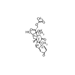 CC(=O)OCC(=O)[C@@]1(O)[C@H](O)C[C@H]2[C@@H]3C=CC4=CC(=O)C=C[C@]4(C)[C@@]3(F)C(=O)C[C@@]21C